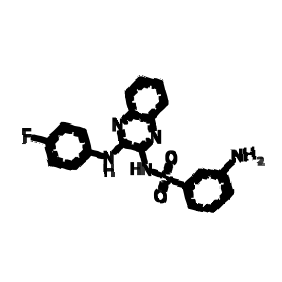 Nc1cccc(S(=O)(=O)Nc2nc3ccccc3nc2Nc2ccc(F)cc2)c1